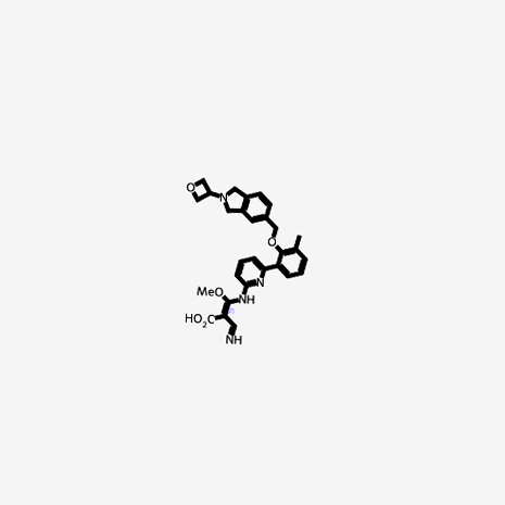 CO/C(Nc1cccc(-c2cccc(C)c2OCc2ccc3c(c2)CN(C2COC2)C3)n1)=C(/C=N)C(=O)O